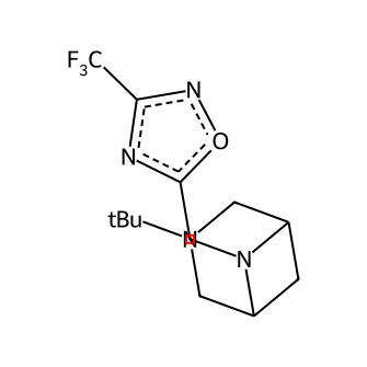 CC(C)(C)N1CC2CC(C1)N2Cc1nc(C(F)(F)F)no1